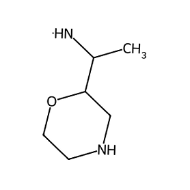 CC([NH])C1CNCCO1